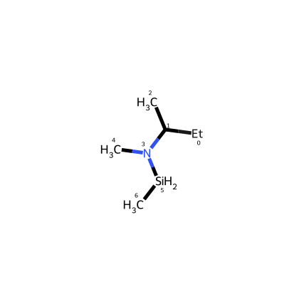 CCC(C)N(C)[SiH2]C